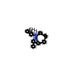 C[Si]1(C)c2ccccc2-c2ccc(-c3nc4nc(n3)-n3c5cc(ccc5c5c(-c6ccccc6)cccc53)-c3cccc(c3)-c3cccc(c3)-c3cccc-4c3)cc21